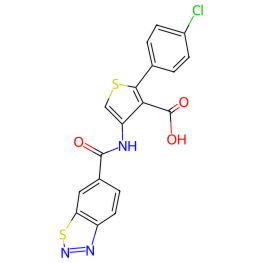 O=C(Nc1csc(-c2ccc(Cl)cc2)c1C(=O)O)c1ccc2nnsc2c1